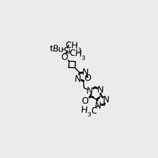 Cn1cnc2ncn(Cc3nc(C4CC(O[Si](C)(C)C(C)(C)C)C4)no3)c(=O)c21